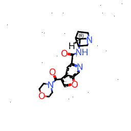 O=C(N[C@H]1CN2CCC1CC2)c1cc2c(C(=O)N3CCOCC3)coc2cn1